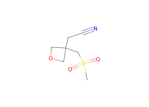 CS(=O)(=O)CC1(CC#N)COC1